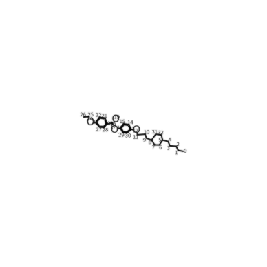 CCCCCC1CCC(CCCOc2ccc(OC(=O)c3ccc(OCC)cc3)cc2)CC1